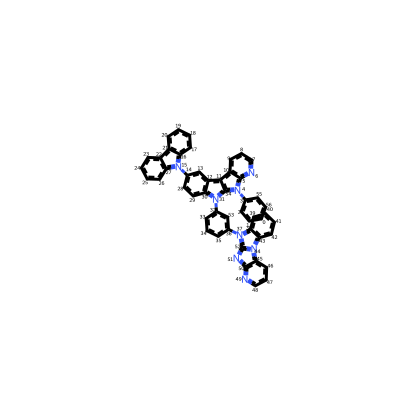 c1ccc(-n2c3ncccc3c3c4cc(-n5c6ccccc6c6ccccc65)ccc4n(-c4cccc(-n5c6ccccc6n6c7cccnc7nc56)c4)c32)cc1